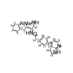 CN/C(Cc1ccccc1)=C(\C=N)NOCc1ccc(-c2ccnc3[nH]ccc23)cc1